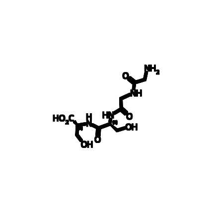 NCC(=O)NCC(=O)N[C@@H](CO)C(=O)N[C@@H](CO)C(=O)O